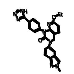 CCOc1ccc2c(n1)N(c1ccc(-c3nnc[nH]3)cc1)C(=O)N(c1ccc3nn(C)cc3c1)C2